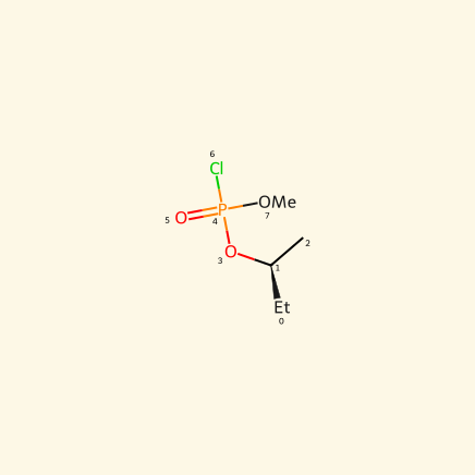 CC[C@H](C)OP(=O)(Cl)OC